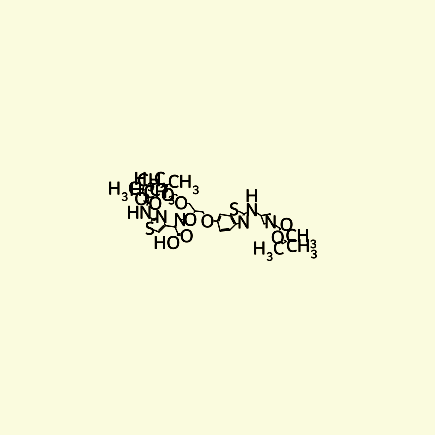 CC(C)(C)OCOCC(COc1ccc2nc(NC3CN(C(=O)OC(C)(C)C)C3)sc2c1)O/N=C(\C(=O)O)c1csc(NC(=O)OC(C)(C)C)n1